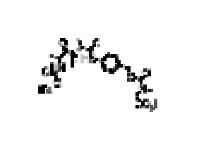 C[C@H](NC(=O)OC(C)(C)C)C(=O)N[C@@H](C)C(=O)Nc1ccc(COC(=O)N(C)CC(=O)O)cc1